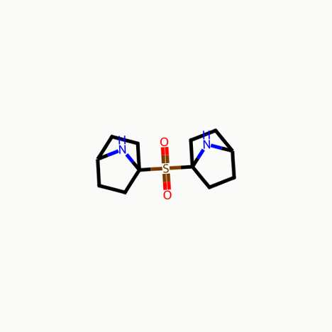 O=S(=O)(C12CCC(CC1)N2)C12CCC(CC1)N2